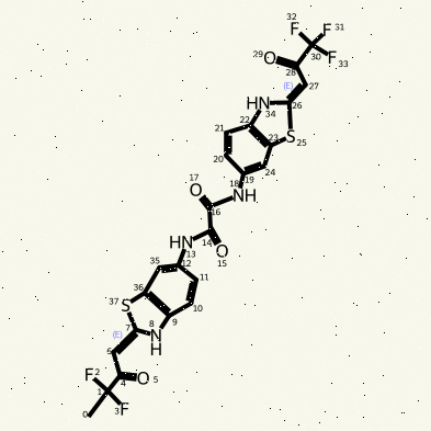 CC(F)(F)C(=O)/C=C1\Nc2ccc(NC(=O)C(=O)Nc3ccc4c(c3)S/C(=C/C(=O)C(F)(F)F)N4)cc2S1